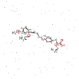 CCO[C@@H](Cc1ccc(OCC=CC#CC2(OC)C=CC=C(OC)C2)c(I)c1)C(=O)O